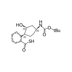 CC(C)(C)OC(=O)N[C@H]1CC[C@@H](c2ccccc2C(=O)S)[C@@H](O)C1